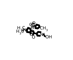 CN(C)c1ccc2cc(-c3cc[n+](CCO)cc3)c(=O)oc2c1.Cc1ccc(S(=O)(=O)[O-])cc1